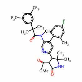 COC(=O)C1C(=O)NC(C)(C)C1c1cc(-c2ccc(F)cc2C)c(N(C)C(=O)C(C)(C)c2cc(C(F)(F)F)cc(C(F)(F)F)c2)cn1